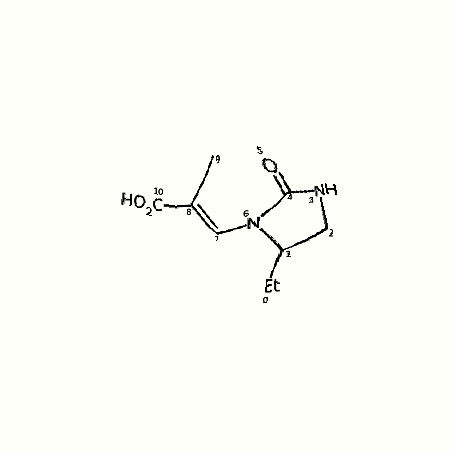 CCC1CNC(=O)N1C=C(C)C(=O)O